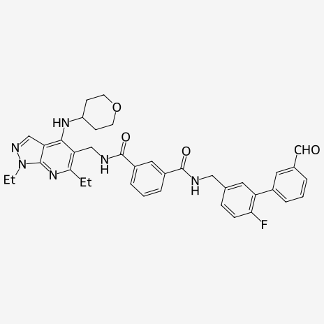 CCc1nc2c(cnn2CC)c(NC2CCOCC2)c1CNC(=O)c1cccc(C(=O)NCc2ccc(F)c(-c3cccc(C=O)c3)c2)c1